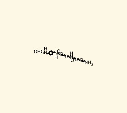 NCCOCCOCC(=O)NCCOCCOCC(=O)NCc1ccc(CNCC=O)cc1